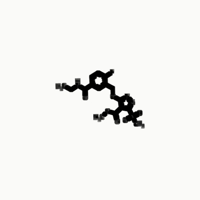 CCNC(=O)c1ccc(F)c(COc2nsc(S(C)(=O)=O)c2C(=O)OC)c1